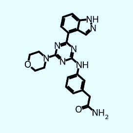 NC(=O)Cc1cccc(Nc2nc(-c3cccc4[nH]ncc34)nc(N3CCOCC3)n2)c1